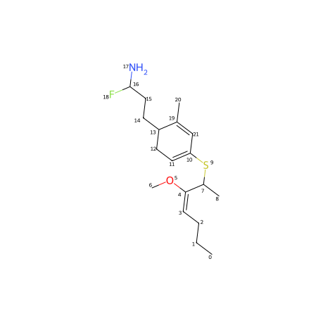 CCC/C=C(/OC)C(C)SC1=CCC(CCC(N)F)C(C)=C1